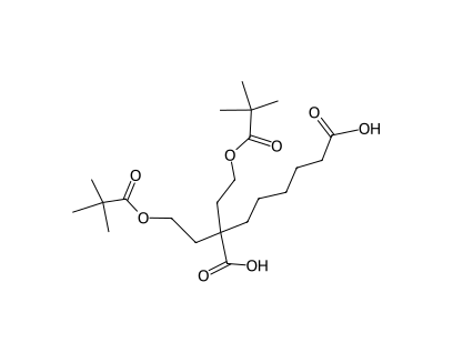 CC(C)(C)C(=O)OCCC(CCCCCC(=O)O)(CCOC(=O)C(C)(C)C)C(=O)O